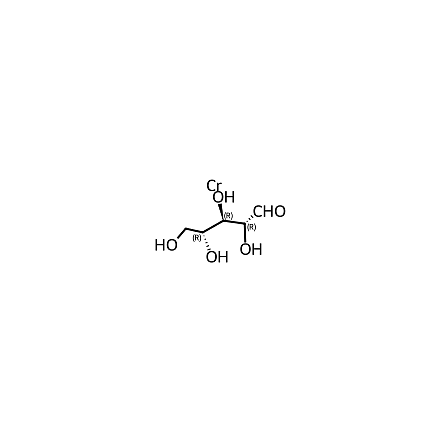 O=C[C@H](O)[C@H](O)[C@H](O)CO.[Cr]